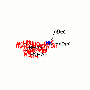 CCCCCCCCCCCCC/C=C/[C@@H](O)[C@H](CO[C@@H]1OC(CO)[C@@H](O[C@@H]2OC(CO)[C@H](O[C@@H]3OC(CO)[C@H](O[C@@H]4OC(CO)[C@H](O)[C@H](O[C@@H]5OC(CO)[C@H](O)[C@H](O)C5O)C4NC(C)=O)[C@H](O[C@@H]4OC(CO)[C@H](O)[C@H](O)C4NC(C)=O)C3O)[C@H](O)C2O)[C@H](O)C1O)NC(=O)CCCCCCCCCCCCCCCCC